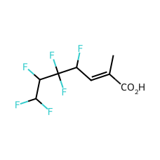 CC(=CC(F)C(F)(F)C(F)C(F)F)C(=O)O